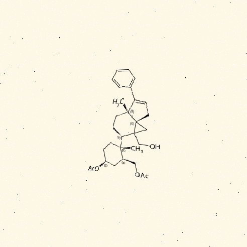 CC(=O)OC[C@H]1C[C@@H](OC(C)=O)CC[C@]1(C)[C@H]1CC[C@]2(C)C(c3ccccc3)=CC[C@]23CC13CO